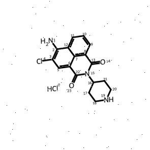 Cl.Nc1c(Cl)cc2c3c(cccc13)C(=O)N(C1CCNCC1)C2=O